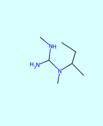 CCC(C)N(C)C(N)NC